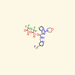 O=C(NCc1cc(C(F)(F)F)ccn1)c1nc(N2CCOCC2)n2ccccc12.O=C(O)C(F)(F)F.O=C(O)C(F)(F)F